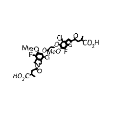 COc1c(F)c2c(c(Cl)c1OCCCOc1c(OC)c(F)c3sc(C(=O)CC(C)C(=O)O)cc3c1Cl)CN(C(=O)CC(C)C(=O)O)C2